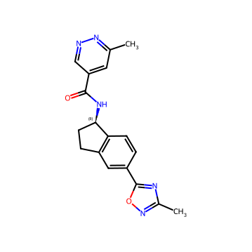 Cc1cc(C(=O)N[C@@H]2CCc3cc(-c4nc(C)no4)ccc32)cnn1